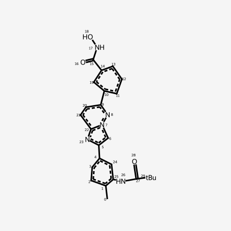 Cc1ccc(-c2cn3nc(-c4cccc(C(=O)NO)c4)ccc3n2)cc1NC(=O)C(C)(C)C